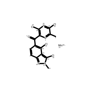 Cc1nc(C(=O)c2ccc3nn(C)c(Cl)c3c2Cl)c(Cl)nc1Cl.[Mn+4]